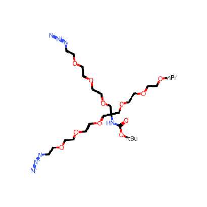 CCCOCCOCCOCC(COCCOCCOCCN=[N+]=[N-])(COCCOCCOCCN=[N+]=[N-])NC(=O)OC(C)(C)C